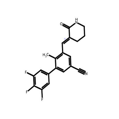 Cc1c(/C=C2\CCCNC2=O)cc(C#N)cc1-c1cc(F)c(F)c(F)c1